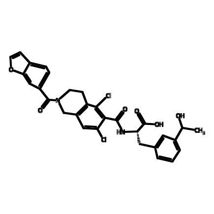 CC(O)c1cccc(C[C@H](NC(=O)c2c(Cl)cc3c(c2Cl)CCN(C(=O)c2ccc4ccoc4c2)C3)C(=O)O)c1